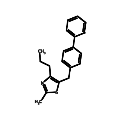 CCCc1nc(C)sc1Cc1ccc(-c2[c]cccc2)cc1